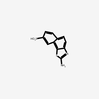 Nc1nc2ccc3ccc(S(=O)(=O)O)cc3c2s1